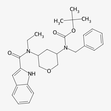 CCN(C(=O)c1cc2ccccc2[nH]1)C1COCC(N(Cc2ccccc2)C(=O)OC(C)(C)C)C1